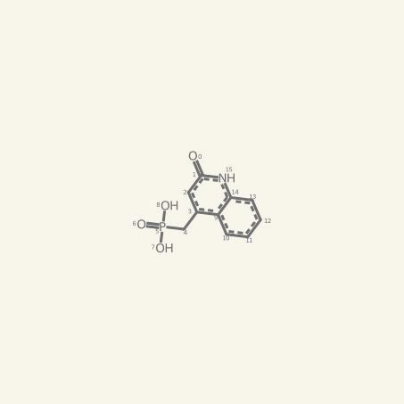 O=c1cc(CP(=O)(O)O)c2ccccc2[nH]1